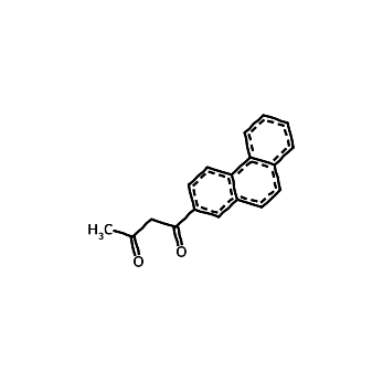 CC(=O)CC(=O)c1ccc2c(ccc3ccccc32)c1